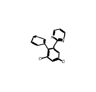 Clc1cc(Cl)c(-c2ccccc2)c(-c2ncccn2)c1